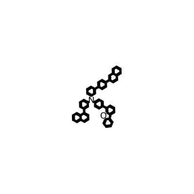 c1cc(-c2ccc(-c3ccc4ccccc4c3)cc2)cc(N(c2ccc(-c3cccc4c3oc3ccccc34)cc2)c2cccc(-c3cccc4ccccc34)c2)c1